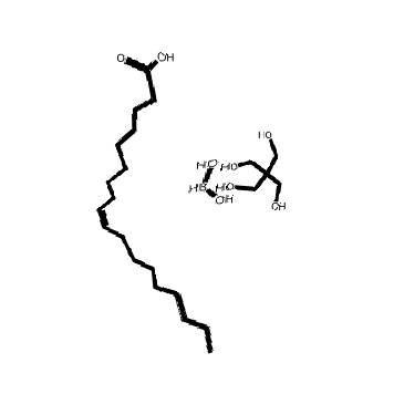 CCCCCCCC/C=C\CCCCCCCC(=O)O.OBO.OCC(CO)(CO)CO